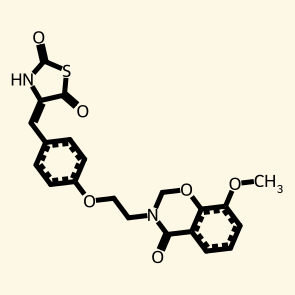 COc1cccc2c1OCN(CCOc1ccc(C=C3NC(=O)SC3=O)cc1)C2=O